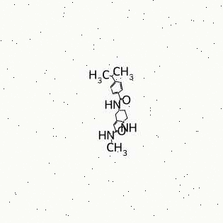 CCNC(=O)/C=C1/CC(NC(=O)c2ccc(C(C)C)cc2)CCC1=N